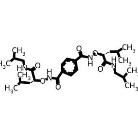 CC(C)CNC(=O)[C@@H](CC(C)C)ONC(=O)c1ccc(C(=O)NO[C@H](CC(C)C)C(=O)NCC(C)C)cc1